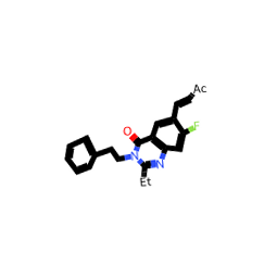 CCc1nc2cc(F)c(/C=C/C(C)=O)cc2c(=O)n1CCc1ccccc1